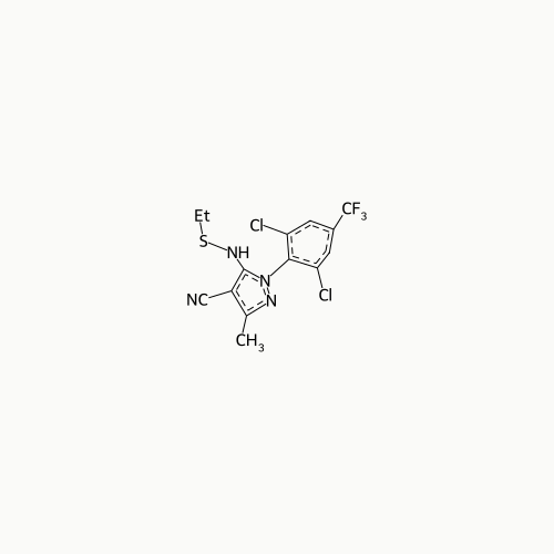 CCSNc1c(C#N)c(C)nn1-c1c(Cl)cc(C(F)(F)F)cc1Cl